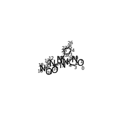 COc1ccc(-n2nc(C(=O)N3CCC3C(=O)N(C)C)nc2-c2ccc(C)cc2)cn1